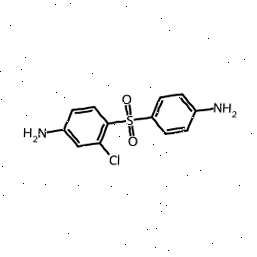 Nc1ccc(S(=O)(=O)c2ccc(N)cc2Cl)cc1